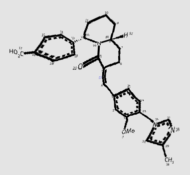 COc1cc(/C=C2\CC[C@H]3CCC[C@@H](c4ccc(C(=O)O)cc4)N3C2=O)ccc1-n1cnc(C)c1